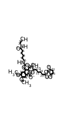 C#CCNC(=O)CCCCCNC(=O)OC(CCN(C)C(=O)CCCCC(=O)ON1C(=O)CCC1=O)c1cc(OC)c(OC)cc1[N+](=O)[O-]